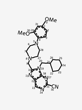 COc1ccc(N2CCN(Cc3nc4cnc(C#N)nc4n3CC3CCCCC3)CC2)c(OC)c1